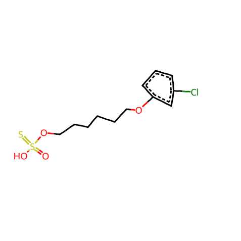 O=S(O)(=S)OCCCCCCOc1cccc(Cl)c1